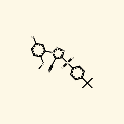 COc1ccc(Cl)cc1-n1nnc(S(=O)(=O)c2ccc(C(C)(C)C)cc2)c1C#N